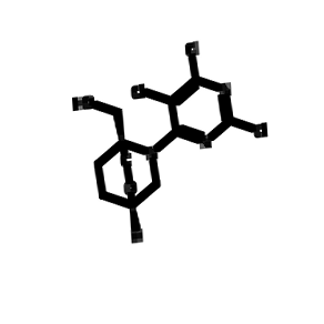 OC[C@@]12CC[C@@H](CN1c1nc(Cl)nc(Cl)c1Cl)OC2